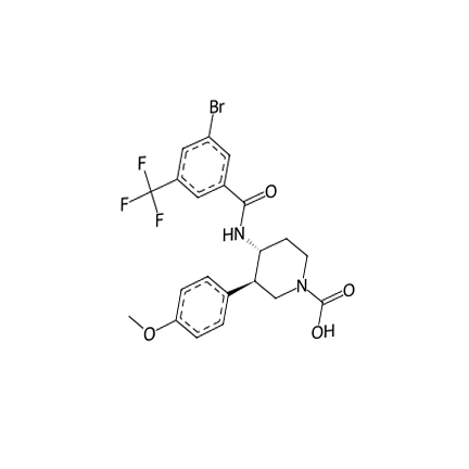 COc1ccc([C@@H]2CN(C(=O)O)CC[C@H]2NC(=O)c2cc(Br)cc(C(F)(F)F)c2)cc1